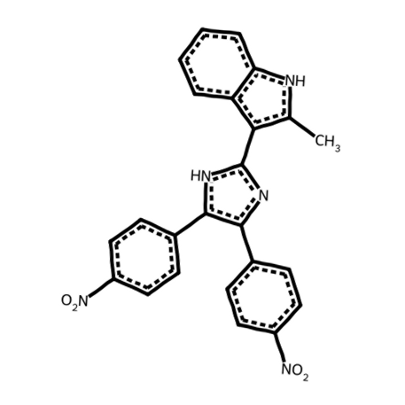 Cc1[nH]c2ccccc2c1-c1nc(-c2ccc([N+](=O)[O-])cc2)c(-c2ccc([N+](=O)[O-])cc2)[nH]1